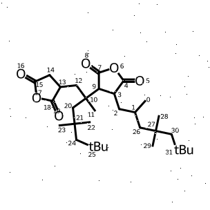 CC(CC1C(=O)OC(=O)C1C(C)(CC1CC(=O)OC1=O)CC(C)(C)CC(C)(C)C)CC(C)(C)CC(C)(C)C